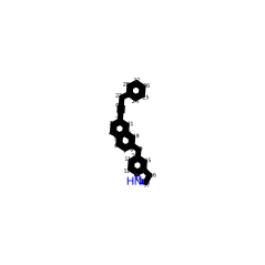 C(#Cc1ccc2ccc(Cc3ccc4c(c3)CCN4)cc2c1)Cc1ccccc1